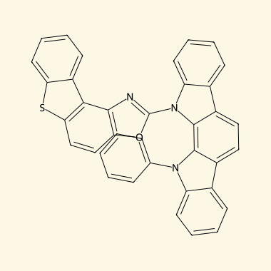 c1ccc(-n2c3ccccc3c3ccc4c5ccccc5n(-c5nc6c(ccc7sc8ccccc8c76)o5)c4c32)cc1